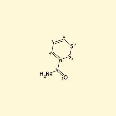 NC(=O)C1=CC=CSS1